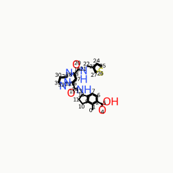 Cc1c(C(=O)O)ccc2c1CC[C@@H]2NC(=O)c1cc(C(=O)NCc2ccsc2)nc2ccnn12